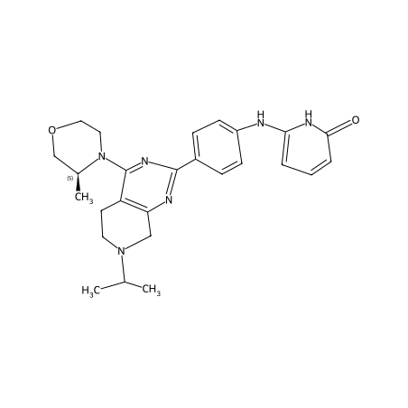 CC(C)N1CCc2c(nc(-c3ccc(Nc4cccc(=O)[nH]4)cc3)nc2N2CCOC[C@@H]2C)C1